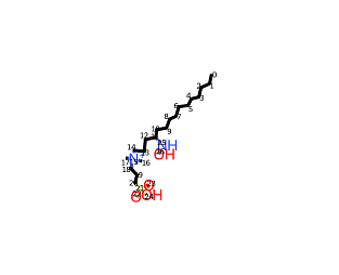 CCCCCCCCCCCC(CCC[N+](C)(C)CCCS(=O)(=O)O)NO